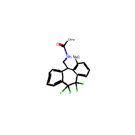 COC(=O)NCC1c2ccccc2C(F)(F)C(F)(F)c2cccc(OC)c21